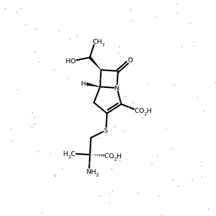 CC(O)[C@H]1C(=O)N2C(C(=O)O)=C(SC[C@](C)(N)C(=O)O)C[C@H]12